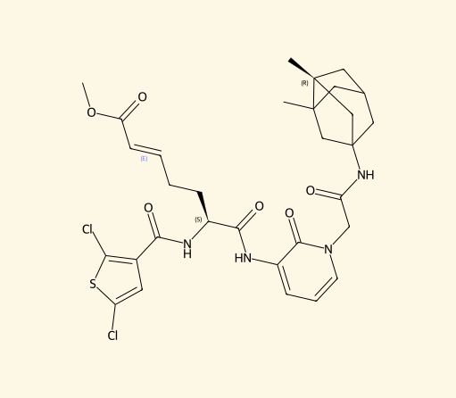 COC(=O)/C=C/CC[C@H](NC(=O)c1cc(Cl)sc1Cl)C(=O)Nc1cccn(CC(=O)NC23CC4CC(C)(C2)[C@](C)(C4)C3)c1=O